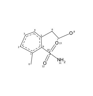 Cc1cccc(CC[O])c1S(N)(=O)=O